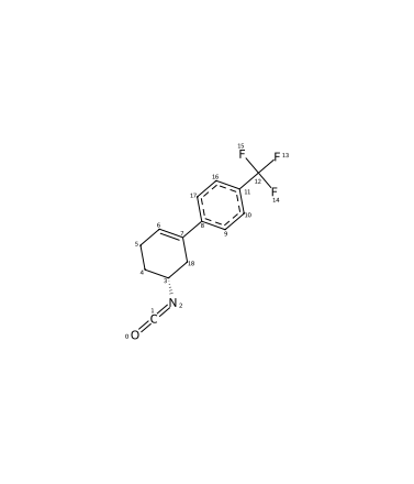 O=C=N[C@@H]1CCC=C(c2ccc(C(F)(F)F)cc2)C1